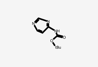 CC(C)(C)OC(=O)Nc1ccn[c]n1